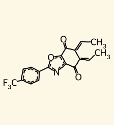 C/C=C1/C(=O)c2nc(-c3ccc(C(F)(F)F)cc3)oc2C(=O)/C1=C/C